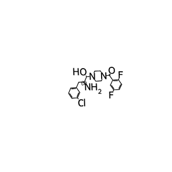 N[C@@H](Cc1cccc(Cl)c1)C(O)N1CCN(C(=O)c2cc(F)ccc2F)CC1